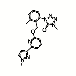 Cc1cccc(-n2nnn(C)c2=O)c1COc1cccc(-c2ccn(C)n2)n1